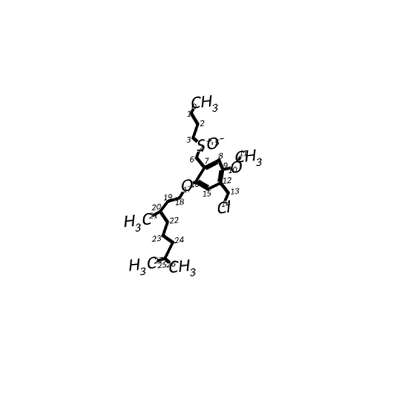 CCCC[S+]([O-])Cc1cc(OC)c(CCl)cc1OCCC(C)CCCC(C)C